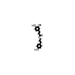 COc1cc(C=CC(=O)OCC=Cc2ccc(O)cc2)ccc1O